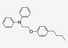 CCCCc1ccc(OCCN(c2ccccc2)c2ccccc2)cc1